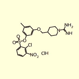 Cc1cc(OCC2CCN(C(=N)N)CC2)cc(OS(=O)(=O)c2cccc([N+](=O)[O-])c2Cl)c1.Cl